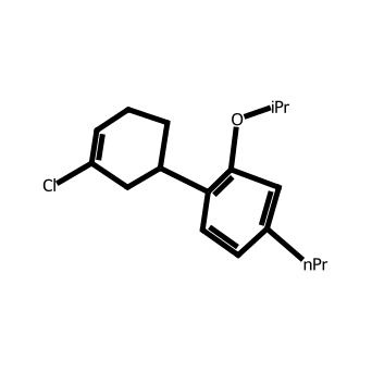 CCCc1ccc(C2CCC=C(Cl)C2)c(OC(C)C)c1